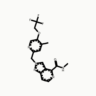 CNC(=O)c1nccc2nn(Cc3cc(C)c(OCC(F)(F)F)cn3)cc12